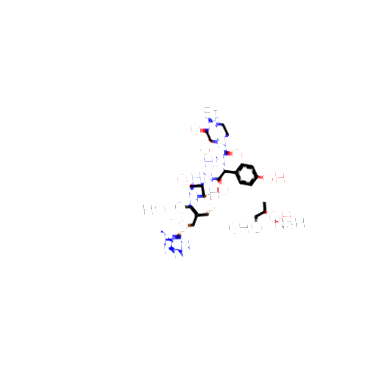 CC(O)CC=O.CCN1CCN(C(=O)N[C@@H](C(=O)N[C@@H]2C(=O)N3C(C(=O)O)=C(CSc4nnnn4C)CS[C@H]23)c2ccc(O)cc2)C(=O)C1=O.[NaH]